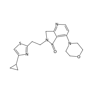 O=C1c2c(N3CCOCC3)ccnc2CN1CCc1nc(C2CC2)cs1